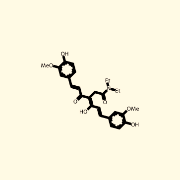 CCN(CC)C(=O)C/C(C(=O)/C=C/c1ccc(O)c(OC)c1)=C(O)\C=C\c1ccc(O)c(OC)c1